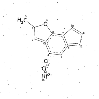 CC1C=c2ccc3c(c2O1)C=CC=3.[Cl-].[Cl-].[Hf+2]